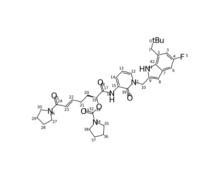 CC(C)(C)Cc1cc(F)cc2cc(Cn3cccc(NC(=O)[C@H](CC/C=C/C(=O)N4CCCC4)OC(=O)N4CCCC4)c3=O)[nH]c12